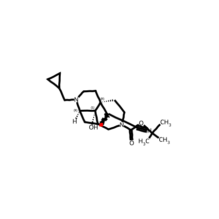 CC(C)(C)OC(=O)N1CC[C@]23CCN(CC4CC4)[C@H](Cc4ccc(C#N)cc42)[C@]3(O)CC1